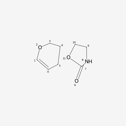 C1=COCCC1.O=C1NCCO1